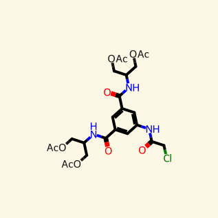 CC(=O)OCC(COC(C)=O)NC(=O)c1cc(NC(=O)CCl)cc(C(=O)NC(COC(C)=O)COC(C)=O)c1